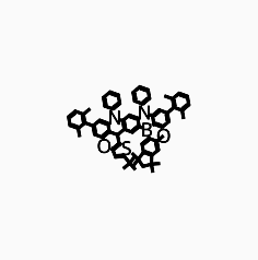 Cc1cccc(C)c1-c1cc2c3c(c1)N(c1ccccc1)c1cc4c(cc1B3c1cc3c(cc1O2)C(C)(C)CC3(C)C)C1c2sc(C(C)(C)C)cc2Oc2cc(-c3c(C)cccc3C)cc(c21)N4c1ccccc1